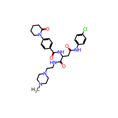 CN1CCN(CCNC(=O)C(CC(=O)Nc2ccc(Cl)cc2)NC(=O)c2ccc(N3CCCCC3=O)cc2)CC1